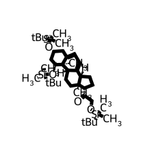 CC(C)(C)[Si](C)(C)OCC(=O)[C@H]1CC[C@H]2C3=CC=C4C[C@@H](O[Si](C)(C)C(C)(C)C)C[C@H](O[Si](C)(C)C(C)(C)C)[C@]4(C)[C@H]3CC[C@]12C